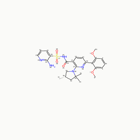 COc1cccc(OC)c1-c1ccc(C(=O)NS(=O)(=O)c2cccnc2N)c(N2C[C@@H](C)CC2(C)C)n1